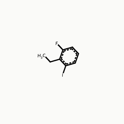 CCc1c(F)cccc1I